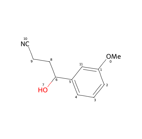 COc1cccc(C(O)CCC#N)c1